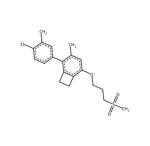 Cc1cc(-c2c(C)cc(OCCCS(C)(=O)=O)c3c2CC3)ccc1Cl